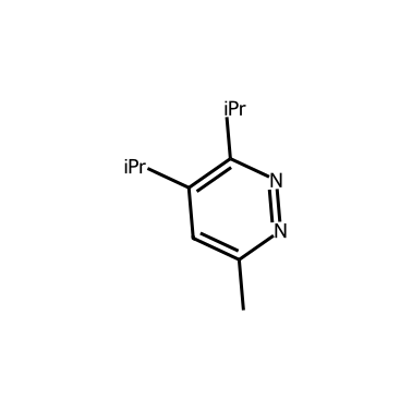 Cc1cc(C(C)C)c(C(C)C)nn1